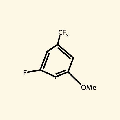 COc1[c]c(F)cc(C(F)(F)F)c1